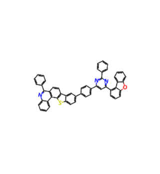 c1ccc(-c2nc(-c3ccc(-c4ccc5sc6c(ccc7c(-c8ccccc8)nc8ccccc8c76)c5c4)cc3)cc(-c3cccc4oc5ccccc5c34)n2)cc1